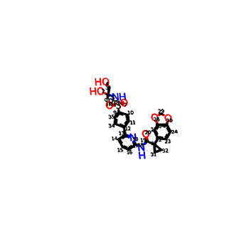 CC(C)C(O)(CO)NS(=O)(=O)c1ccc(-c2cccc(NC(=O)C3(c4ccc5c(c4)OCO5)CC3)n2)cc1